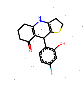 O=C1CCCC2=C1C(c1ccc(F)cc1O)C1=C(CCS1)N2